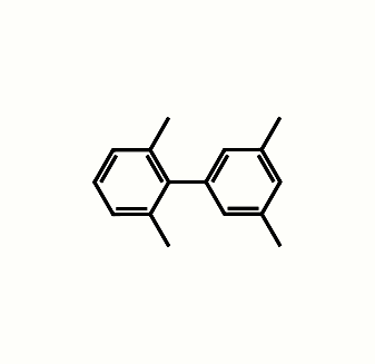 Cc1cc(C)cc(-c2c(C)cccc2C)c1